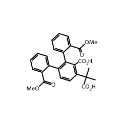 COC(=O)c1ccccc1-c1ccc(C(C)(C)C(=O)O)c(C(=O)O)c1-c1ccccc1C(=O)OC